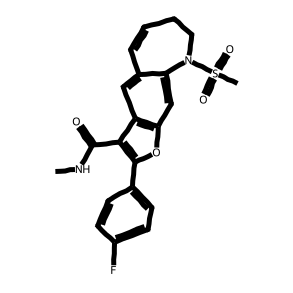 CNC(=O)c1c(-c2ccc(F)cc2)oc2cc3c(cc12)C=CCCN3S(C)(=O)=O